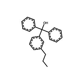 CCCc1cccc(C(O)(c2ccccc2)c2ccccc2)c1